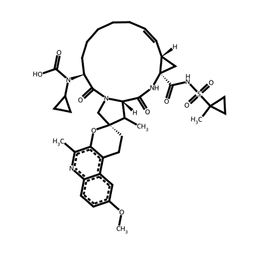 COc1ccc2nc(C)c3c(c2c1)CC[C@@]1(CN2C(=O)[C@@H](N(C(=O)O)C4CC4)CCCCC/C=C\[C@@H]4C[C@@]4(C(=O)NS(=O)(=O)C4(C)CC4)NC(=O)[C@@H]2C1C)O3